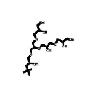 CC(C)(C)CC(O)COCC(COCC(O)CO)OCC(O)COCC(O)CO